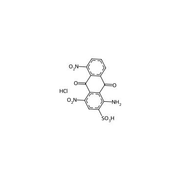 Cl.Nc1c(S(=O)(=O)O)cc([N+](=O)[O-])c2c1C(=O)c1cccc([N+](=O)[O-])c1C2=O